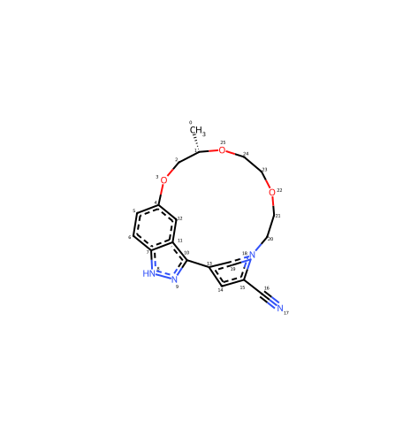 C[C@H]1COc2ccc3[nH]nc(c3c2)-c2cc(C#N)n(c2)CCOCCO1